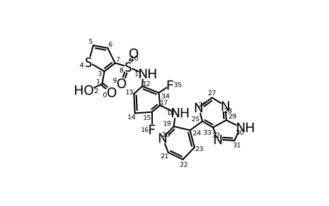 O=C(O)c1sccc1S(=O)(=O)Nc1ccc(F)c(Nc2ncccc2-c2ncnc3[nH]cnc23)c1F